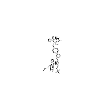 CCCCNC(=O)N(CCOc1ccc(CC(OCC)C(=O)O)cc1)CCC(C)(C)C